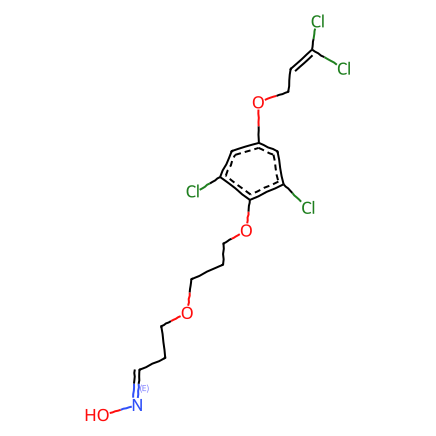 O/N=C/CCOCCCOc1c(Cl)cc(OCC=C(Cl)Cl)cc1Cl